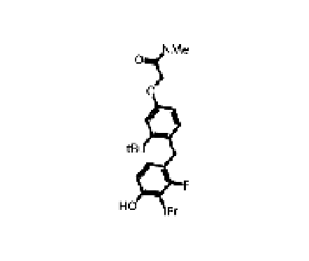 CNC(=O)COc1ccc(Cc2ccc(O)c(C(C)C)c2F)c(C(C)(C)C)c1